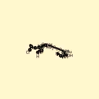 Cc1ncsc1-c1ccc([C@H](C)NC(=O)[C@@H]2C[C@@H](O)CN2C(=O)[C@@H](NC(=O)CCOCCOCCOCCOCCNc2ccc(S(=O)(=O)NC(=O)c3ccc(N4CCN(CC5=C(c6ccc(Cl)cc6)CC(C)(C)CC5)CC4)cc3N3CCCOc4nc5[nH]ccc5cc43)cc2[N+](=O)[O-])C(C)(C)C)cc1